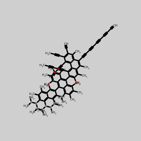 BBB(B)B(B(B)B)c1c(B(B(B)B)B(B)B)c(C)c(C)c2c(C)c(-c3c4c(C)c(C)c(C)c(C)c4c(-c4c(C)c(C)c5c(C)c(C#CC#CC#CC#CC#C)c6c(C)c(C#C)c(C#CC)c(C#CC#C)c6c5c4C#CC#CC)c4c(C)c(C)c(C)c(C)c34)c(BB)c(B)c12